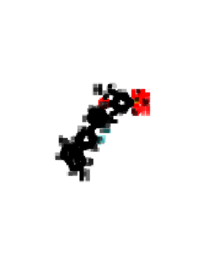 Cc1cc(P(=O)(O)O)cc(C)c1Oc1ccc(-c2ccc([C@]34CC5C[C@@H](C[C@H](C5)C3)C4)cc2F)c(F)c1